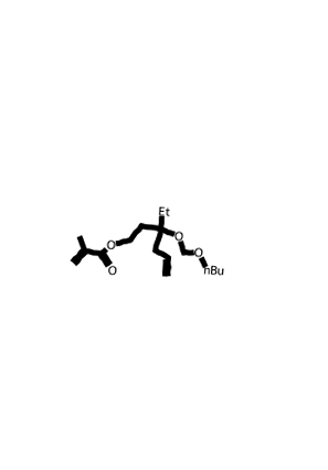 C=CCC(CC)(CCOC(=O)C(=C)C)OCOCCCC